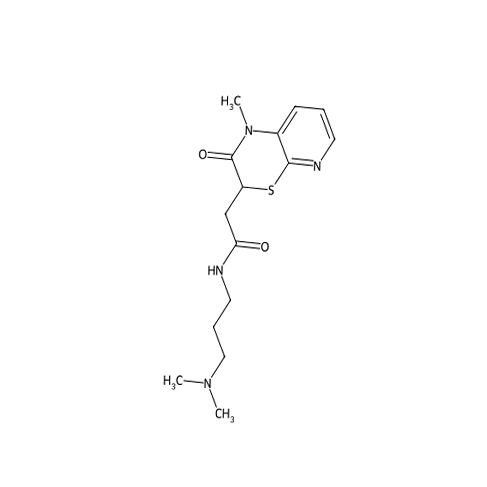 CN(C)CCCNC(=O)CC1Sc2ncccc2N(C)C1=O